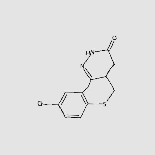 O=C1CC2CSc3ccc(Cl)cc3C2=NN1